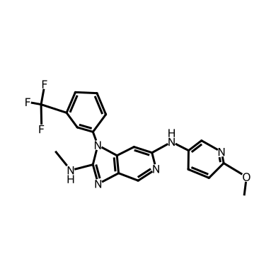 CNc1nc2cnc(Nc3ccc(OC)nc3)cc2n1-c1cccc(C(F)(F)F)c1